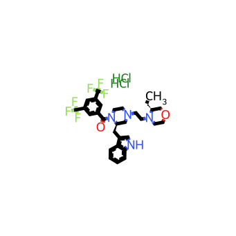 CC[C@@H]1COCCN1CCN1CCN(C(=O)c2cc(C(F)(F)F)cc(C(F)(F)F)c2)[C@H](Cc2c[nH]c3ccccc23)C1.Cl.Cl